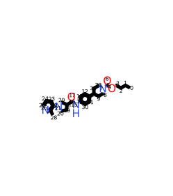 CCCCOC(=O)N1CCC(c2ccc(NC(=O)C3CCN(c4cccnc4C)C3)cc2)CC1